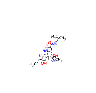 C=C(/C=C(O)\C=C/CC)[C@@]12Cc3[nH]c(=O)c(C(=O)NCCC(C)C)cc3C[C@@]1(O)[C@H]1C(CN1C)C2